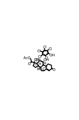 CC(=O)OCC(=O)[C@@]1(O)CC[C@H]2[C@@H]3CCC4=CC(=O)CC[C@]4(C)[C@H]3[C@@H](O)C[C@@]21C.Oc1c(Cl)c(Cl)c(Cl)c(Cl)c1Cl